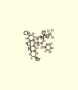 COc1nc2ccc(Br)cc2cc1C(c1ccc(Cl)cc1)C1(C)CCN(C(=O)OC(C)(C)C)CC1Cc1ccccc1